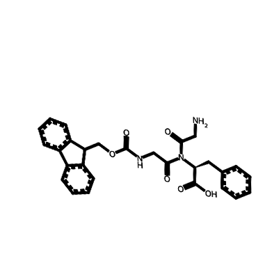 NCC(=O)N(C(=O)CNC(=O)OCC1c2ccccc2-c2ccccc21)[C@@H](Cc1ccccc1)C(=O)O